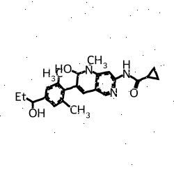 CCC(O)c1cc(C)c(C2=Cc3cnc(NC(=O)C4CC4)cc3N(C)C2O)c(C)c1